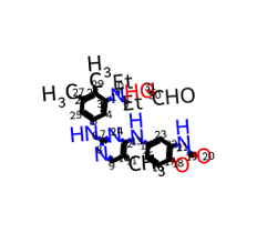 CCN(CC)c1cc(Nc2ncc(C)c(Nc3ccc4oc(=O)[nH]c4c3)n2)cc(C)c1C.O=CO